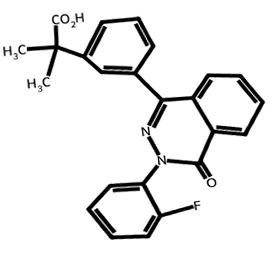 CC(C)(C(=O)O)c1cccc(-c2nn(-c3ccccc3F)c(=O)c3ccccc23)c1